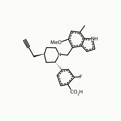 C#CC[C@H]1CCN(Cc2c(OC)cc(C)c3[nH]ccc23)[C@H](c2ccc(C(=O)O)c(F)c2)C1